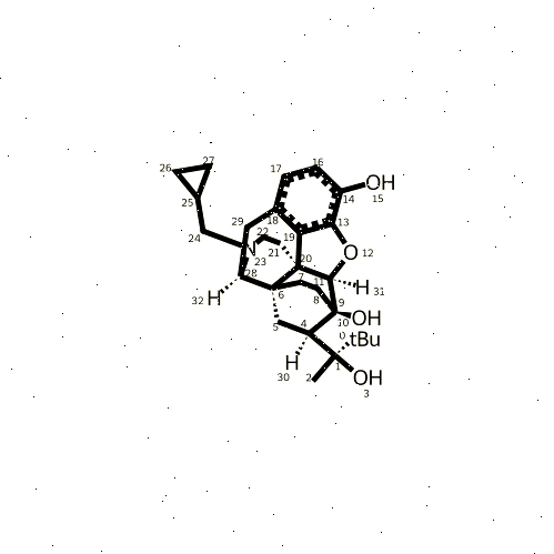 CC(C)(C)[C@@](C)(O)[C@H]1C[C@@]23CC[C@]1(O)[C@@H]1Oc4c(O)ccc5c4[C@@]12CCN(CC1CC1)[C@@H]3C5